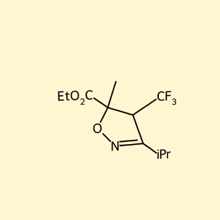 CCOC(=O)C1(C)ON=C(C(C)C)C1C(F)(F)F